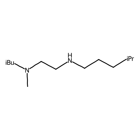 CCC(C)N(C)CCNCCCC(C)C